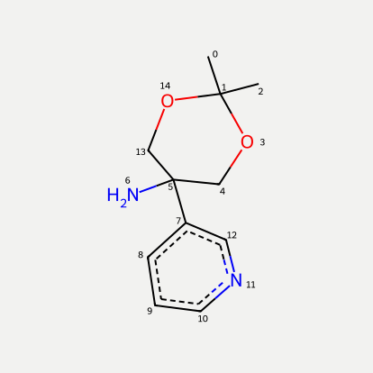 CC1(C)OCC(N)(c2cccnc2)CO1